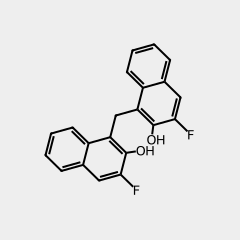 Oc1c(F)cc2ccccc2c1Cc1c(O)c(F)cc2ccccc12